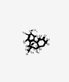 [2H]c1c([2H])c2c3c(c1OC)OC1([2H])C(=O)C([2H])([2H])C[C@]4([2H])[C@@]31CCN(C([2H])([2H])[2H])[C@]4([2H])C2([2H])[2H]